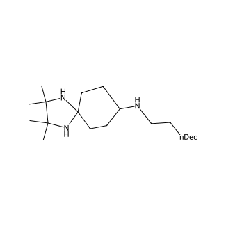 CCCCCCCCCCCCNC1CCC2(CC1)NC(C)(C)C(C)(C)N2